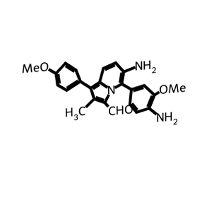 COc1ccc(-c2c(C)c(C=O)n3c(-c4ccc(N)c(OC)c4)c(N)ccc23)cc1